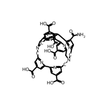 NC(=O)c1cc2ncc1-c1cnc(cc1C(=O)O)C[N@]1Cc3cc(C(=O)O)cc(n3)-c3cc(C(=O)O)cc(n3)C[N@](C2)Cc2cc(C(=O)O)cc(n2)-c2cc(C(=O)O)cc(n2)C1